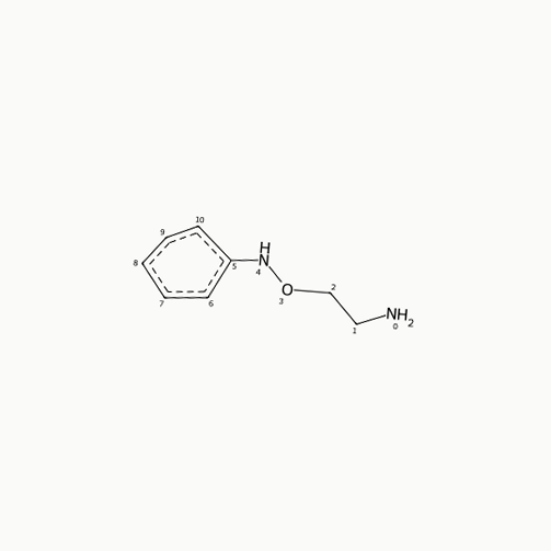 NCCONc1ccccc1